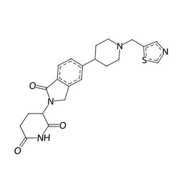 O=C1CCC(N2Cc3cc(C4CCN(Cc5cncs5)CC4)ccc3C2=O)C(=O)N1